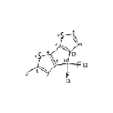 Cc1cc2c(s1)-c1sccc1C2(F)F